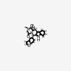 CN1CC(=O)N2[C@H](c3ccc4occc4c3)c3[nH]c4ccccc4c3C[C@@H]2C1=O